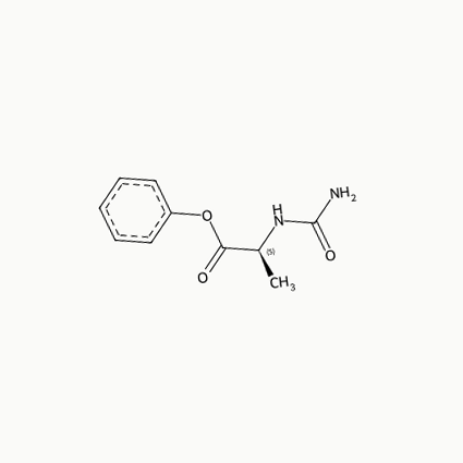 C[C@H](NC(N)=O)C(=O)Oc1ccccc1